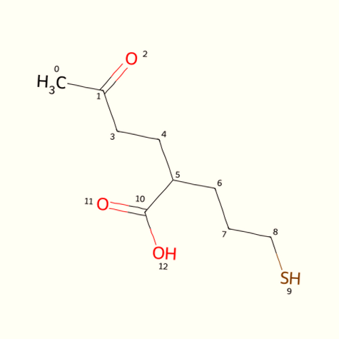 CC(=O)CCC(CCCS)C(=O)O